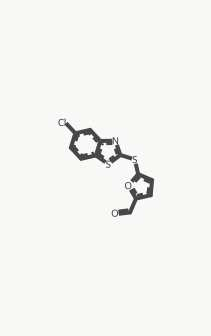 O=Cc1ccc(Sc2nc3cc(Cl)ccc3s2)o1